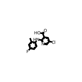 Cc1cc(F)ccc1Nc1ncc(Cl)cc1C(=O)O